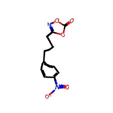 O=c1onc(CCCc2ccc([N+](=O)[O-])cc2)o1